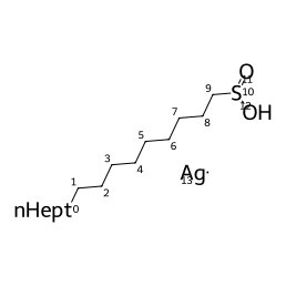 CCCCCCCCCCCCCCCCS(=O)O.[Ag]